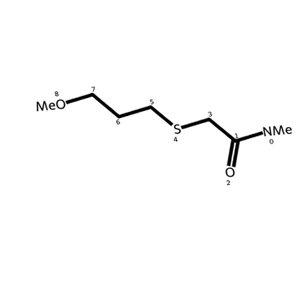 CNC(=O)CSCCCOC